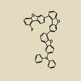 Fc1cccc2oc3cc(-c4cccc5oc6ccc(-c7cccc8c7oc7ccc(N(c9ccccc9)c9ccccc9)cc78)cc6c45)ccc3c12